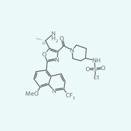 CCS(=O)(=O)NC1CCN(C(=O)c2nc(-c3ccc(OC)c4nc(C(F)(F)F)ccc34)oc2[C@H](C)N)CC1